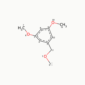 [C]OCc1cc(OC)cc(OC)c1